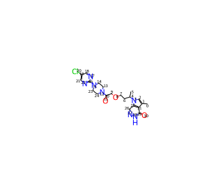 Cc1cn(C(C)CCOCC(=O)N2CCN(c3ncc(Cl)cn3)CC2)c2cn[nH]c(=O)c12